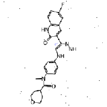 CN(C(=O)C1CCOCC1)c1ccc(N/C=C(\N=N)c2cc3cc(F)ccc3[nH]c2=O)cc1